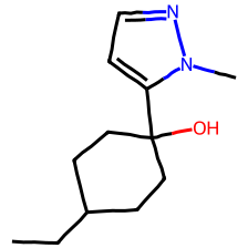 CCC1CCC(O)(c2ccnn2C)CC1